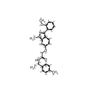 COc1ccccc1-c1nn(C)c2nc(OCC(=O)N[C@@H](C)c3ccc(C)cc3)ccc12